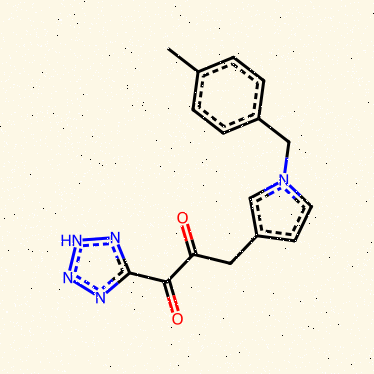 Cc1ccc(Cn2ccc(CC(=O)C(=O)c3nn[nH]n3)c2)cc1